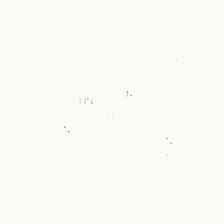 C=CC(=O)N1CC(NC(=O)Cn2cc(CC(=O)N3CC4CCC3C4)c3cc(Br)ccc32)C1